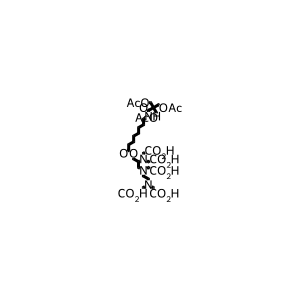 CC(=O)OCC(COC(C)=O)(COC(C)=O)C(=O)NCCCCCCCC(=O)OCC(CN(CCN(CC(=O)O)CC(=O)O)CC(=O)O)N(CC(=O)O)CC(=O)O